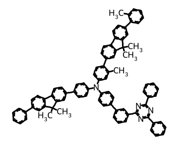 Cc1ccccc1-c1ccc2c(c1)C(C)(C)c1cc(-c3ccc(N(c4ccc(-c5cccc(-c6nc(-c7ccccc7)nc(-c7ccccc7)n6)c5)cc4)c4ccc(-c5ccc6c(c5)C(C)(C)c5cc(-c7ccccc7)ccc5-6)cc4)cc3C)ccc1-2